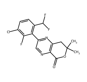 CC1(C)Cc2nc(-c3c(C(F)F)ccc(Cl)c3F)cnc2C(=O)O1